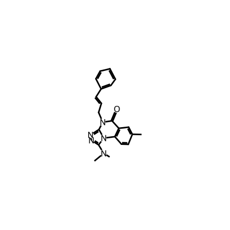 Cc1ccc2c(c1)c(=O)n(CC=Cc1ccccc1)c1nnc(N(C)C)n21